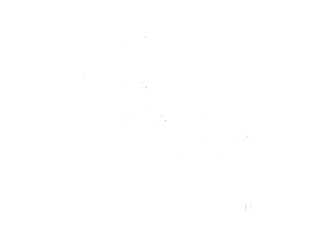 CCOC(=O)C1CCN(C(=O)N2CCCc3ccccc32)CC1